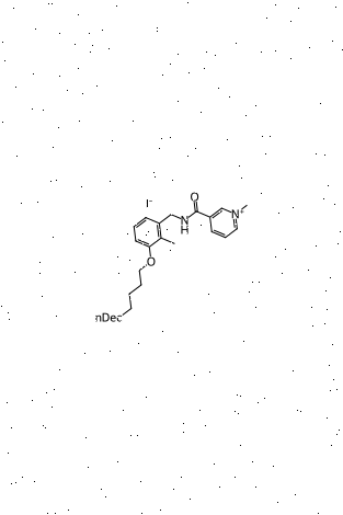 CCCCCCCCCCCCCCOc1cccc(CNC(=O)c2ccc[n+](C)c2)c1C.[I-]